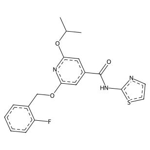 CC(C)Oc1cc(C(=O)Nc2nccs2)cc(OCc2ccccc2F)n1